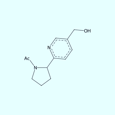 CC(=O)N1CCCC1c1ccc(CO)cn1